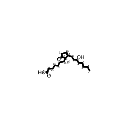 CCCCC[C@H](O)CCC1=CCC(=O)[C@]1(C)CCCCCCC(=O)O